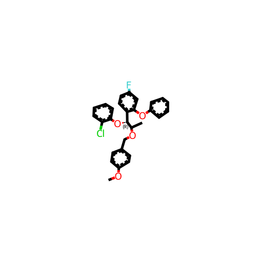 COc1ccc(COC(C)[C@H](Oc2ccccc2Cl)c2ccc(F)cc2Oc2ccccc2)cc1